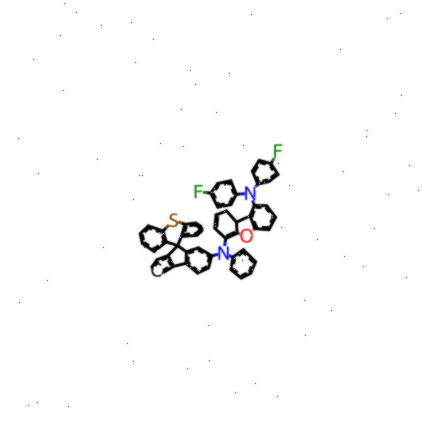 Fc1ccc(N(c2ccc(F)cc2)c2cccc3c2C2CC=CC(N(c4ccccc4)c4ccc5c(c4)C4(c6ccccc6Sc6ccccc64)c4ccccc4-5)=C2O3)cc1